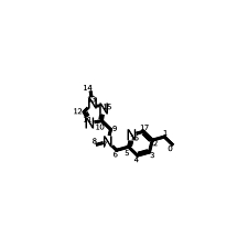 CCc1ccc(CN(C)Cc2ncn(C)n2)nc1